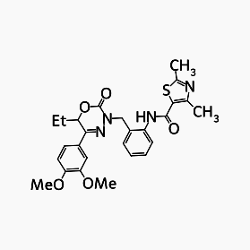 CCC1OC(=O)N(Cc2ccccc2NC(=O)c2sc(C)nc2C)N=C1c1ccc(OC)c(OC)c1